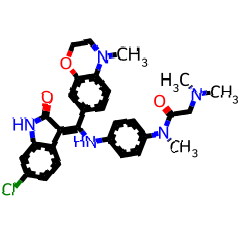 CN(C)CC(=O)N(C)c1ccc(NC(=C2C(=O)Nc3cc(Cl)ccc32)c2ccc3c(c2)OCCN3C)cc1